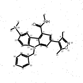 CNC(=O)c1cc(-c2c(C)noc2C)cc2c1c1cc(N(C)C)ccc1n2Cc1ccccc1